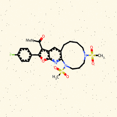 CNC(=O)c1c(-c2ccc(F)cc2)oc2nc3c(cc12)CCCCN(S(C)(=O)=O)CCCN3S(C)(=O)=O